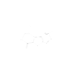 CC[C@H]1CNC(=O)[C@@H]2Cc3ccc(Cl)cc3N12